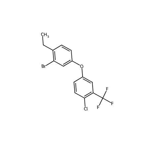 CCc1ccc(Oc2ccc(Cl)c(C(F)(F)F)c2)cc1Br